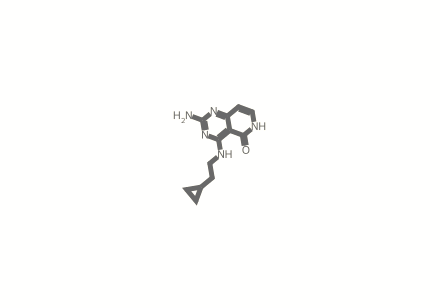 Nc1nc(NCCC2CC2)c2c(=O)[nH]ccc2n1